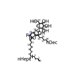 C=CCCN(CCCCCCC)CCCCCCCC/C(F)=C\[C@@H](COC1OC(CO)C(O)C(O)C1O)[C@H](O)[C@H](O)CCCCCCCCCCCCCC